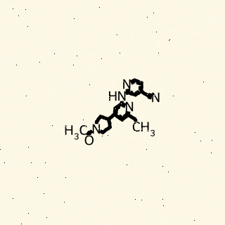 CCc1cc(C2CCN(C(C)=O)CC2)cc(Nc2cc(C#N)ccn2)n1